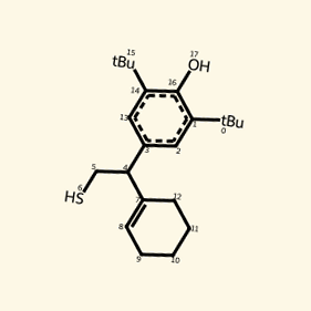 CC(C)(C)c1cc(C(CS)C2=CCCCC2)cc(C(C)(C)C)c1O